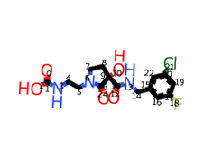 O=C(O)NCCN1CCC(O)(C(=O)NCc2cc(F)cc(Cl)c2)C1=O